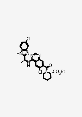 CCOC(=O)[C@@H]1CCCCN1C(=O)c1cc2ncnc(N[C@@H](C)c3nc4cc(Cl)ccc4[nH]3)c2cc1Cl